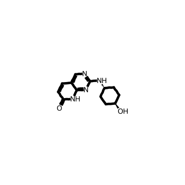 O=c1ccc2cnc(N[C@H]3CC[C@H](O)CC3)nc2[nH]1